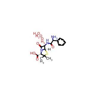 CC1(C)S[C@@H]2C(NC(=O)C(N)c3ccccc3)C(=O)N2[C@H]1C(=O)O.O.O.O